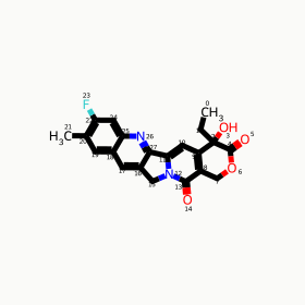 CCC1(O)C(=O)OCc2c1cc1n(c2=O)Cc2cc3cc(C)c(F)cc3nc2-1